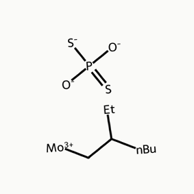 CCCCC(CC)[CH2][Mo+3].[O-]P([O-])(=S)[S-]